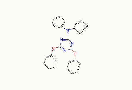 c1ccc(Oc2nc(Oc3ccccc3)nc(N(c3ccccc3)c3ccccc3)n2)cc1